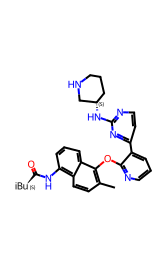 CC[C@H](C)C(=O)Nc1cccc2c(Oc3ncccc3-c3ccnc(N[C@H]4CCCNC4)n3)c(C)ccc12